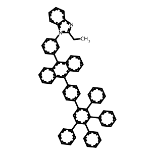 CCc1nc2ccccc2n1-c1cccc(-c2c3ccccc3c(-c3ccc(-c4cc(-c5ccccc5)c(-c5ccccc5)c(-c5ccccc5)c4-c4ccccc4)cc3)c3ccccc23)c1